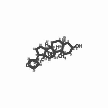 C[C@]12CC[C@H](O)C[C@@H]1CC[C@@H]1[C@@H]2CC[C@]2(C)[C@@H](c3ccoc3)CC[C@]12O